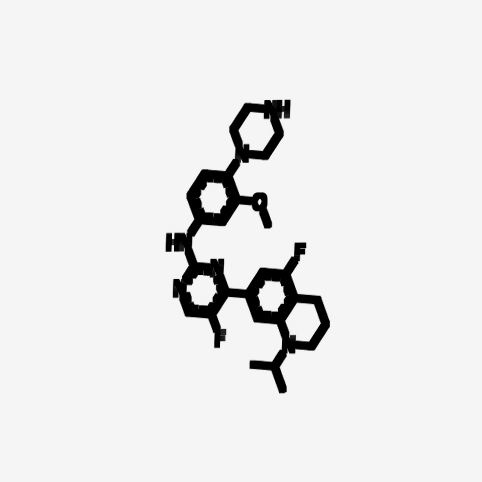 COc1cc(Nc2ncc(F)c(-c3cc(F)c4c(c3)N(C(C)C)CCC4)n2)ccc1N1CCNCC1